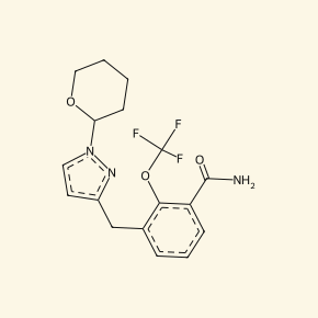 NC(=O)c1cccc(Cc2ccn(C3CCCCO3)n2)c1OC(F)(F)F